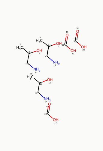 CC(O)CN.CC(O)CN.CC(O)CN.O=CO.O=CO.O=CO